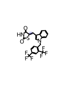 O=C1NC(=O)/C(=C/c2cn(Cc3ccc(C(F)(F)F)cc3C(F)(F)F)c3ccccc23)S1